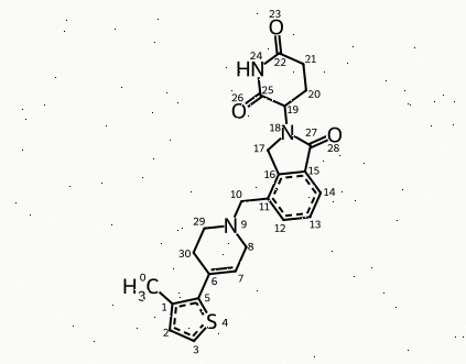 Cc1ccsc1C1=CCN(Cc2cccc3c2CN(C2CCC(=O)NC2=O)C3=O)CC1